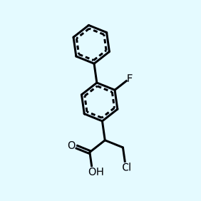 O=C(O)C(CCl)c1ccc(-c2ccccc2)c(F)c1